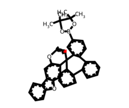 CC1(C)OB(c2ccc3c(c2)C2(c4ccccc4Oc4cc5c(cc42)oc2ccccc25)c2ccccc2-c2ccccc2-3)OC1(C)C